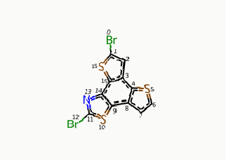 Brc1cc2c3sccc3c3sc(Br)nc3c2s1